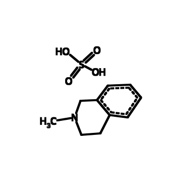 CN1CCc2ccccc2C1.O=S(=O)(O)O